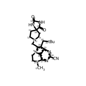 CN1CCn2c(CN3CCC4(CC3)NC(=O)NC4=O)c(CC(C)(C)C)c3nc(C#N)nc1c32